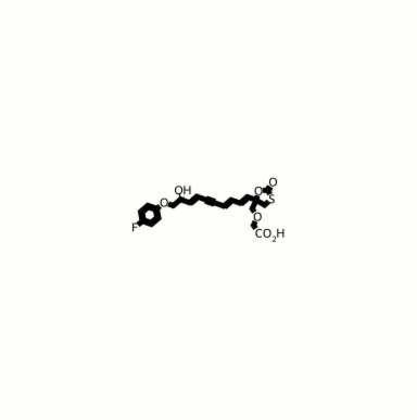 O=C(O)COCC1(C=CC=CC#CC=C[C@@H](O)COc2ccc(F)cc2)CSC(=O)O1